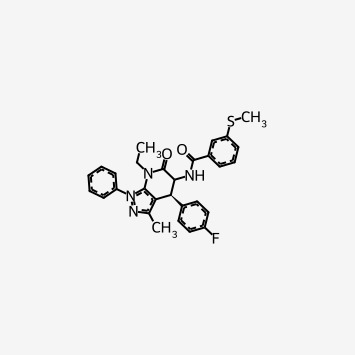 CCN1C(=O)C(NC(=O)c2cccc(SC)c2)[C@@H](c2ccc(F)cc2)c2c(C)nn(-c3ccccc3)c21